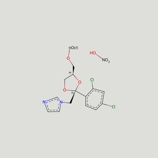 CCCCCCCCOC[C@@H]1CO[C@@](Cn2ccnc2)(c2ccc(Cl)cc2Cl)O1.O=[N+]([O-])O